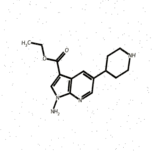 CCOC(=O)c1cn(N)c2ncc(C3CCNCC3)cc12